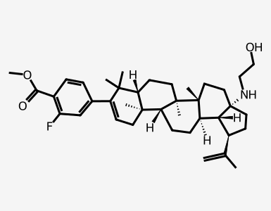 C=C(C)[C@@H]1CC[C@]2(NCCO)CC[C@]3(C)[C@H](CC[C@@H]4[C@@]5(C)CC=C(c6ccc(C(=O)OC)c(F)c6)C(C)(C)[C@@H]5CC[C@]43C)[C@@H]12